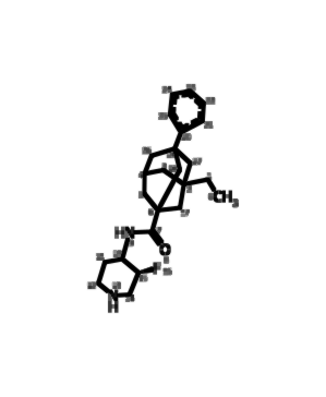 CCC12CC3CC(C(=O)NC4CCNC[C@@H]4F)(C1)CC(c1ccccc1)(C3)C2